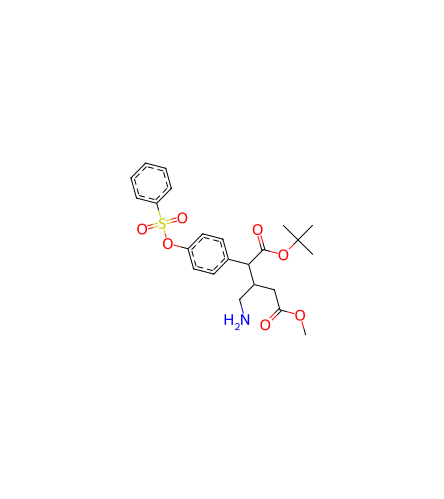 COC(=O)CC(CN)C(C(=O)OC(C)(C)C)c1ccc(OS(=O)(=O)c2ccccc2)cc1